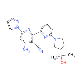 CC(C)(O)C1CCN(c2cccc(-c3nc(-n4cccn4)cc(N)c3C#N)n2)C1